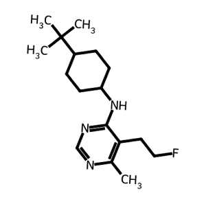 Cc1ncnc(NC2CCC(C(C)(C)C)CC2)c1CCF